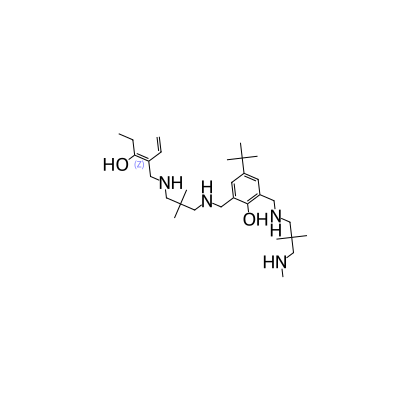 C=C/C(CNCC(C)(C)CNCc1cc(C(C)(C)C)cc(CNCC(C)(C)CNC)c1O)=C(/O)CC